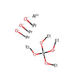 CC(C)[O-].CC(C)[O-].CC(C)[O-].CCO[Si](OCC)(OCC)OCC.[Al+3]